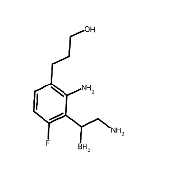 BC(CN)c1c(F)ccc(CCCO)c1N